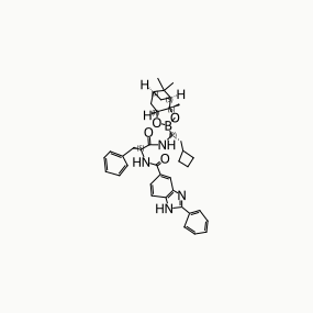 CC1(C)[C@@H]2C[C@H]3OB([C@H](CC4CCC4)NC(=O)[C@H](Cc4ccccc4)NC(=O)c4ccc5[nH]c(-c6ccccc6)nc5c4)O[C@@]3(C)[C@H]1C2